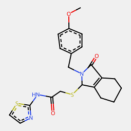 COc1ccc(CN2C(=O)C3=C(CCCC3)C2SCC(=O)Nc2nccs2)cc1